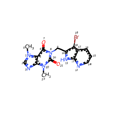 Cn1cnc2c1c(=O)n(Cc1[nH]c3ncccc3c1Br)c(=O)n2C